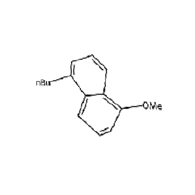 CCCCc1cccc2c(OC)cccc12